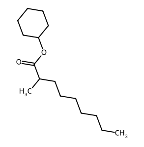 CCCCCCCC(C)C(=O)OC1CCCCC1